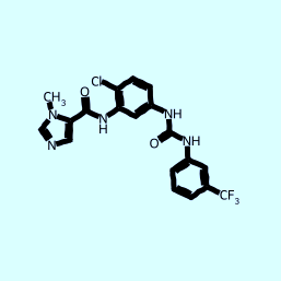 Cn1cncc1C(=O)Nc1cc(NC(=O)Nc2cccc(C(F)(F)F)c2)ccc1Cl